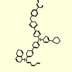 C=C/C=C\C=C\N(C1=CC=C(C2=CC=C(N(C3C=CC(C4=CCC(Cc5ccc(/C(C=C)=C/C=C)cc5)C=C4)=CC3)C3C=CC(C4CCCCC4)=CC3)CC2)CC1)C1CC=CC2=C1C=CCC2